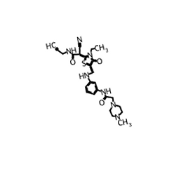 C#CCNC(=O)C(C#N)=c1sc(=CNc2cccc(NC(=O)CN3CCN(C)CC3)c2)c(=O)n1CC